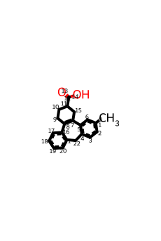 Cc1ccc2c(c1)C1=C(CCC(C(=O)O)C1)c1ccccc1C2